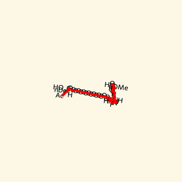 CCCCCCCCCCCC(CCCCCCCCCCC(C)=O)(C(=O)O)C(=O)NCCOCCOCCOCCOCCOCCOCCOCCOCCOCCOCCOCCOCCC(=O)CCC(=O)OC(C)(C)c1ccc(C(=O)Nc2cc(F)cc(-c3ncnc4[nH]c(-c5ccc(CCN6CCC7(CC6)CCN(C(=O)c6ccc(OC)c(N8CCC(=O)NC8=O)c6)CC7)cc5)cc34)c2C)c(F)c1